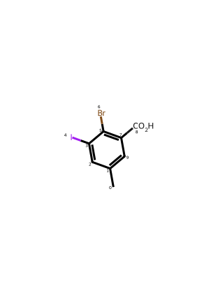 Cc1cc(I)c(Br)c(C(=O)O)c1